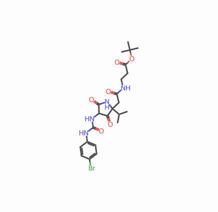 CC(C)C1(CC(=O)NCCC(=O)OC(C)(C)C)NC(=O)C(NC(=O)Nc2ccc(Br)cc2)C1=O